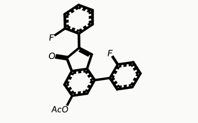 CC(=O)Oc1cc2c(c(-c3ccccc3F)c1)C=C(c1ccccc1F)C2=O